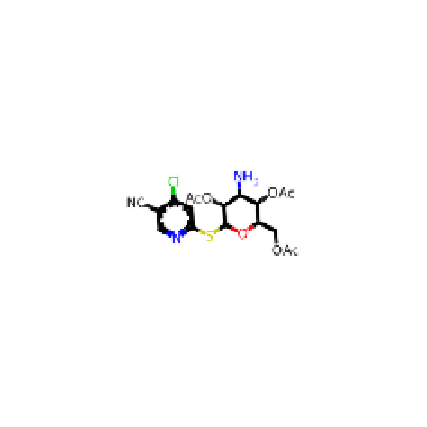 CC(=O)OCC1OC(Sc2cc(Cl)c(C#N)cn2)C(OC(C)=O)C(N)C1OC(C)=O